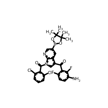 CC1(C)OB(c2cnc3c(c2)c(C(=O)c2c(F)ccc(N)c2F)cn3C(=O)c2c(Cl)cccc2Cl)OC1(C)C